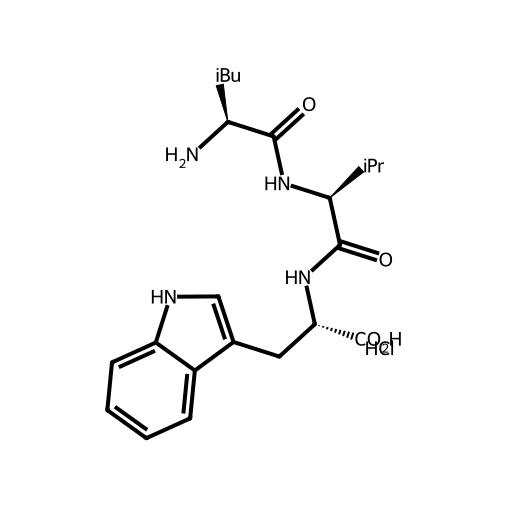 CCC(C)[C@H](N)C(=O)N[C@H](C(=O)N[C@@H](Cc1c[nH]c2ccccc12)C(=O)O)C(C)C.Cl